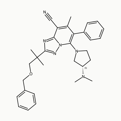 Cc1c(-c2ccccc2)c(N2CC[C@H](N(C)C)C2)n2nc(C(C)(C)COCc3ccccc3)nc2c1C#N